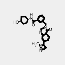 Cn1nccc1-c1ccc2c(=O)n(Cc3cccc(C(=O)N[C@H]4CC[C@@H](O)CC4)c3)cnc2c1